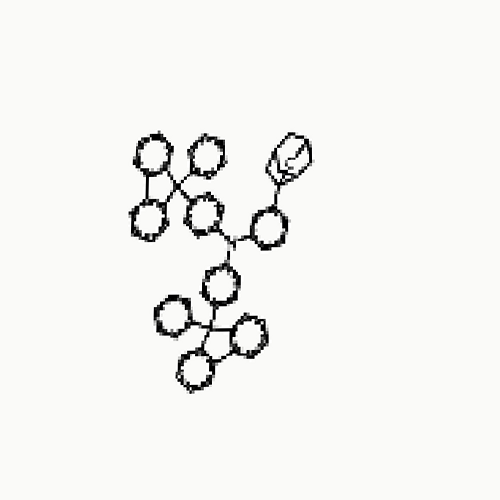 c1ccc(C2(c3ccc(N(c4ccc(C5(c6ccccc6)c6ccccc6-c6ccccc65)cc4)c4cccc(C56CC7CC(CC5C7)C6)c4)cc3)c3ccccc3-c3ccccc32)cc1